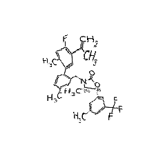 C=C(C)c1cc(-c2ccc(C)cc2CN2C(=O)O[C@H](c3cc(C)cc(C(F)(F)F)c3)[C@@H]2C)c(C)cc1F